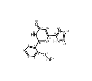 CCCOc1ccccc1-c1nc(-c2nnn[nH]2)cc(=O)[nH]1